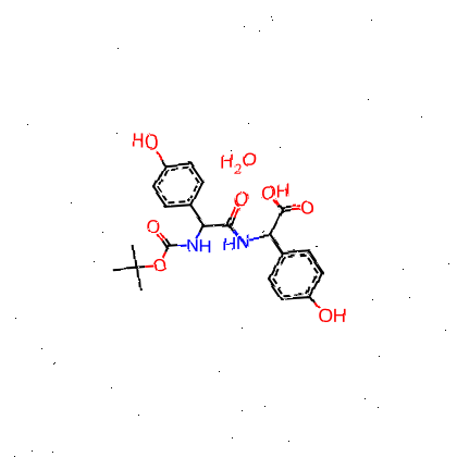 CC(C)(C)OC(=O)NC(C(=O)NC(C(=O)O)c1ccc(O)cc1)c1ccc(O)cc1.O